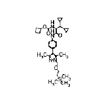 Cc1nn(COCC[Si](C)(C)C)c(C)c1-c1ccc(NC(=O)C(NC(=O)OC2CCC2)C(C2CC2)C2CC2)cc1